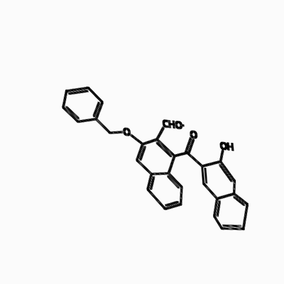 O=[C]c1c(OCc2ccccc2)cc2ccccc2c1C(=O)c1cc2ccccc2cc1O